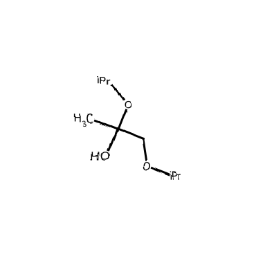 CC(C)OCC(C)(O)OC(C)C